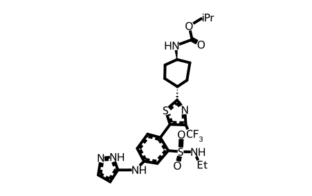 CCNS(=O)(=O)c1cc(Nc2ccn[nH]2)ccc1-c1sc([C@H]2CC[C@H](NC(=O)OC(C)C)CC2)nc1C(F)(F)F